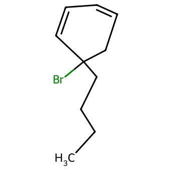 CCCCC1(Br)C=CC=CC1